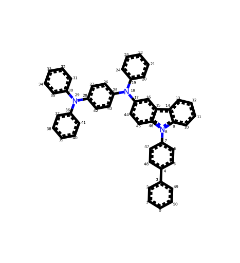 c1ccc(-c2ccc(-n3c4ccccc4c4cc(N(c5ccccc5)c5ccc(N(c6ccccc6)c6ccccc6)cc5)ccc43)cc2)cc1